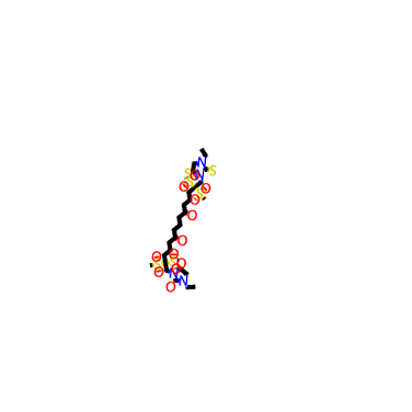 CCN1CC(=O)N(CC(CCCC(=O)CCCC(=O)CCCC(CN2C(=S)CN(CC)C2=S)(S(C)(=O)=O)S(C)(=O)=O)(S(C)(=O)=O)S(C)(=O)=O)C1=O